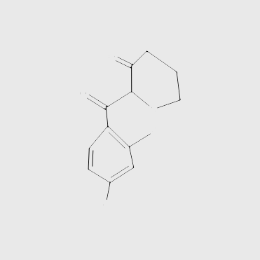 O=C1CCCSC1C(=O)c1ccc(Cl)cc1Cl